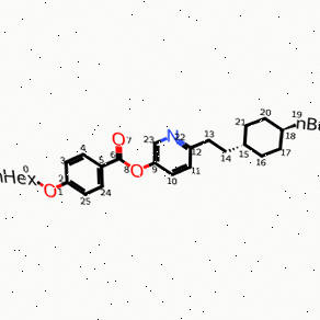 CCCCCCOc1ccc(C(=O)Oc2ccc(CC[C@H]3CC[C@H](CCCC)CC3)nc2)cc1